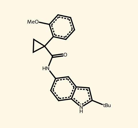 COc1ccccc1C1(C(=O)Nc2ccc3[nH]c(C(C)(C)C)cc3c2)CC1